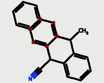 CC12c3ccccc3C(C#N)(c3ccccc31)c1cc3ccccc3cc12